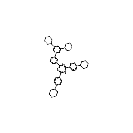 c1cc(-c2cc(C3CCCCC3)cc(C3CCCCC3)c2)cc(-c2nc(-c3ccc(C4CCCCC4)cc3)nc(-c3ccc(C4CCCCC4)cc3)n2)c1